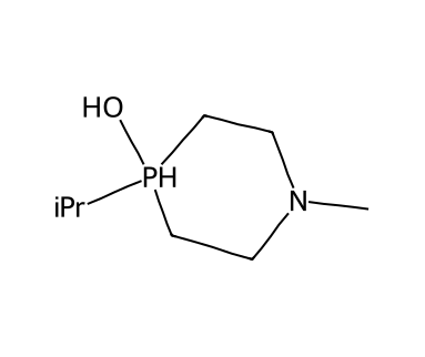 CC(C)[PH]1(O)CCN(C)CC1